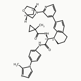 Cc1nccn1-c1ccc(NC(=O)[C@@H](NC(=O)C2(C)CC2)[C@@H]2CCCc3ccc(-c4ccnc(N5C[C@H]6C[C@@H]5CO6)c4)cc32)cc1